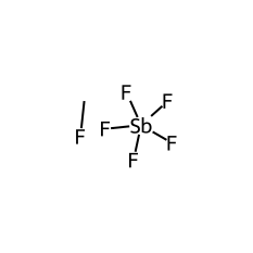 CF.[F][Sb]([F])([F])([F])[F]